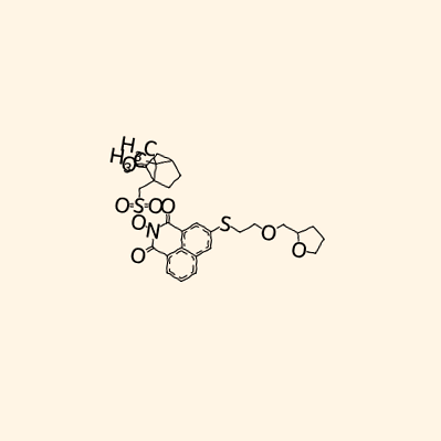 CC1(C)C2CCC1(CS(=O)(=O)ON1C(=O)c3cccc4cc(SCCOCC5CCCO5)cc(c34)C1=O)C(=O)C2